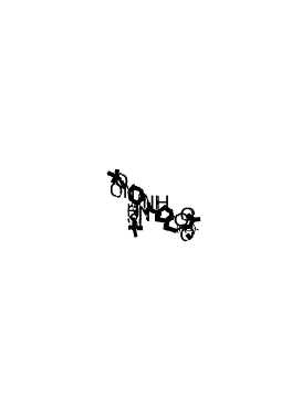 CO[C@](C)(C(C)=O)[C@H]1CCc2cc(C(=N)N[C@H]3CCN(C(=O)OC(C)(C)C)C[C@H]3CO[Si](C)(C)C(C)(C)C)ccc2O1